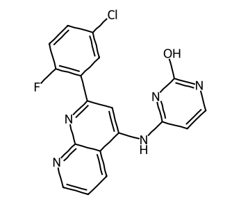 Oc1nccc(Nc2cc(-c3cc(Cl)ccc3F)nc3ncccc23)n1